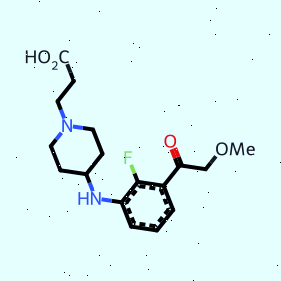 COCC(=O)c1cccc(NC2CCN(CCC(=O)O)CC2)c1F